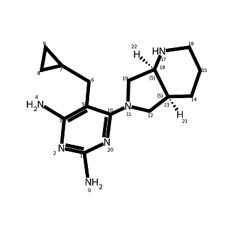 Nc1nc(N)c(CC2CC2)c(N2C[C@@H]3CCCN[C@@H]3C2)n1